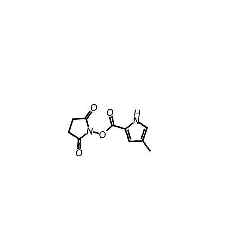 Cc1c[nH]c(C(=O)ON2C(=O)CCC2=O)c1